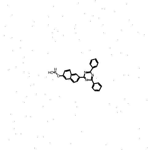 OBOc1ccc2cc(-c3nc(-c4ccccc4)nc(-c4ccccc4)n3)ccc2c1